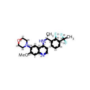 COc1cc2nccc(N[C@H](C)c3cccc(C(C)(F)F)c3F)c2cc1N1CCOCC1